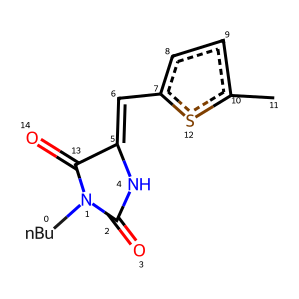 CCCCN1C(=O)NC(=Cc2ccc(C)s2)C1=O